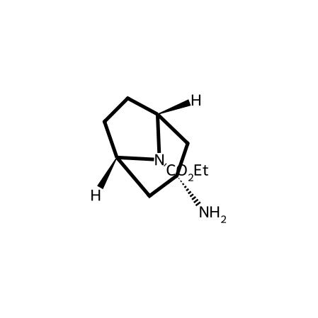 CCOC(=O)N1[C@@H]2CC[C@H]1C[C@@H](N)C2